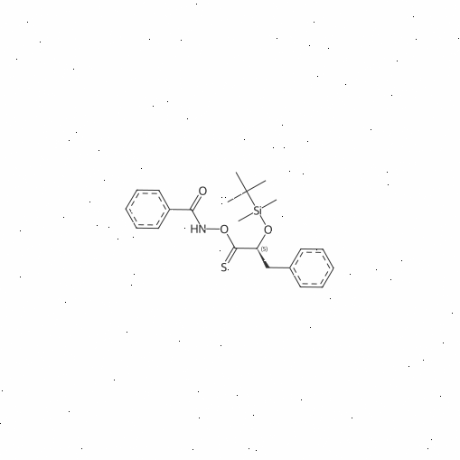 CC(C)(C)[Si](C)(C)O[C@@H](Cc1ccccc1)C(=S)ONC(=O)c1ccccc1